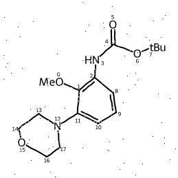 COc1c(NC(=O)OC(C)(C)C)cccc1N1CCOCC1